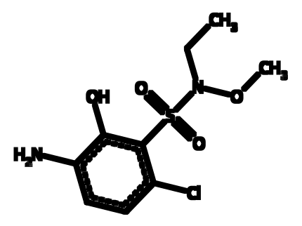 CCN(OC)S(=O)(=O)c1c(Cl)ccc(N)c1O